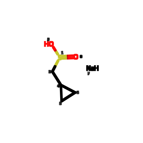 O=S(O)CC1CC1.[NaH]